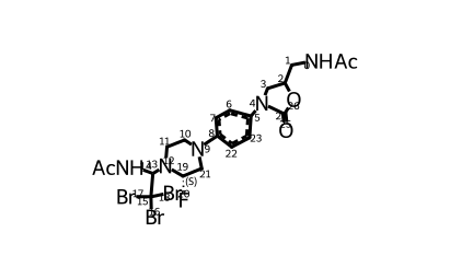 CC(=O)NCC1CN(c2ccc(N3CCN(C(NC(C)=O)C(Br)(Br)Br)[C@@H](F)C3)cc2)C(=O)O1